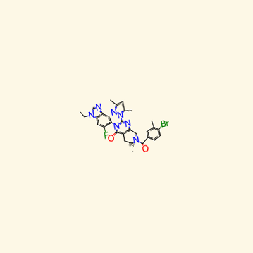 CCn1cnc2cc(-n3c(-n4nc(C)cc4C)nc4c(c3=O)C[C@@H](C)N(C(=O)c3ccc(Br)c(C)c3)C4)c(F)cc21